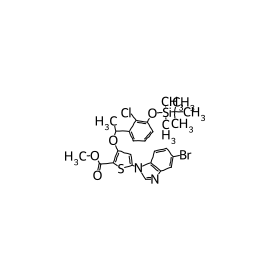 COC(=O)c1sc(-n2cnc3cc(Br)ccc32)cc1OC(C)c1cccc(O[Si](C)(C)C(C)(C)C)c1Cl